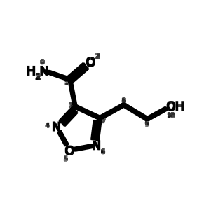 NC(=O)c1nonc1CCO